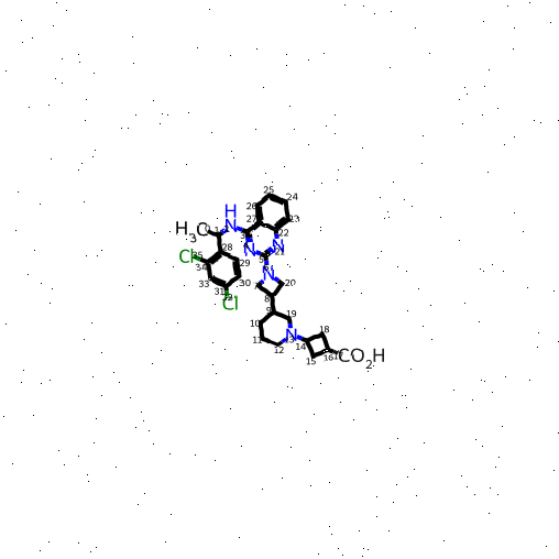 CC(Nc1nc(N2CC(C3CCCN(C4CC(C(=O)O)C4)C3)C2)nc2ccccc12)c1ccc(Cl)cc1Cl